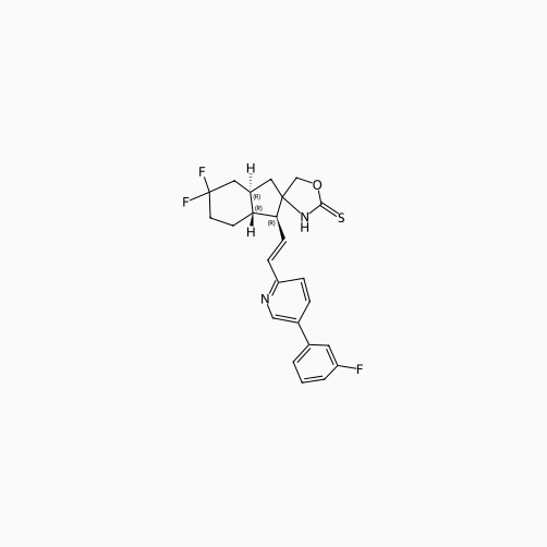 Fc1cccc(-c2ccc(C=C[C@H]3[C@@H]4CCC(F)(F)C[C@H]4CC34COC(=S)N4)nc2)c1